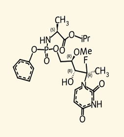 CO[C@H](COP(=O)(N[C@@H](C)C(=O)OC(C)C)Oc1ccccc1)[C@@H](O)[C@@](C)(F)n1ccc(=O)[nH]c1=O